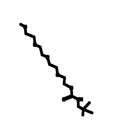 COCCOCCOCCOCCOC(=O)NCC(C)(C)C